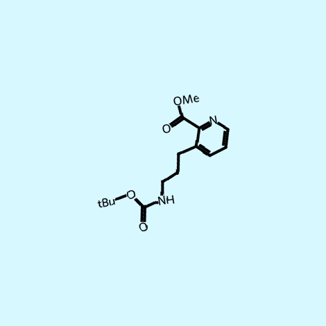 COC(=O)c1ncccc1CCCNC(=O)OC(C)(C)C